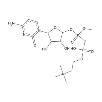 COP(=O)(OC1OC(n2ccc(N)nc2=O)C(O)C1O)OP(=O)(O)OCC[N+](C)(C)C